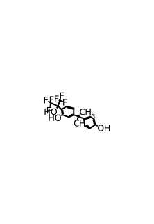 CC(C)(c1ccc(O)cc1)c1ccc(C(O)(C(F)(F)F)C(F)(F)F)c(O)c1